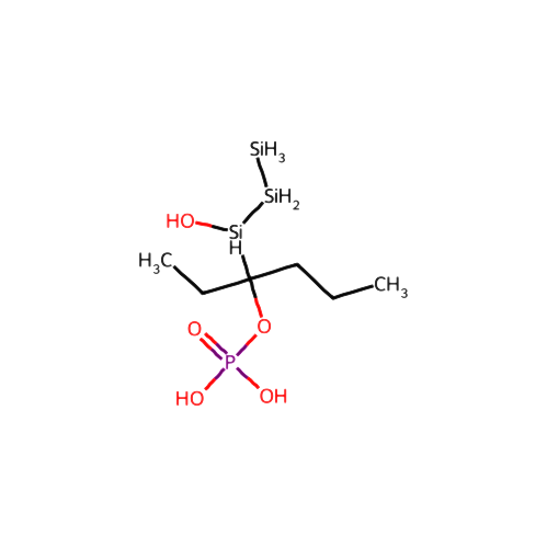 CCCC(CC)(OP(=O)(O)O)[SiH](O)[SiH2][SiH3]